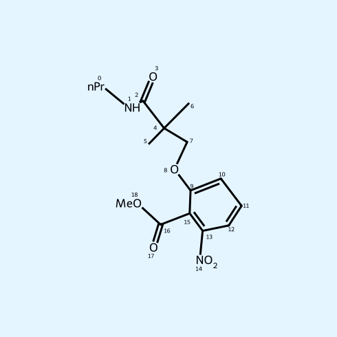 CCCNC(=O)C(C)(C)COc1cccc([N+](=O)[O-])c1C(=O)OC